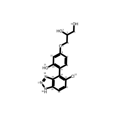 OCC(O)COc1ccc(-c2c(Cl)ccc3[nH]nnc23)c(O)c1